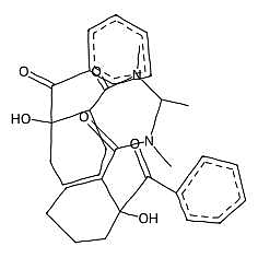 CC(N(C)C(=O)C1CCCCC1(O)C(=O)c1ccccc1)N(C)C(=O)C1CCCCC1(O)C(=O)c1ccccc1